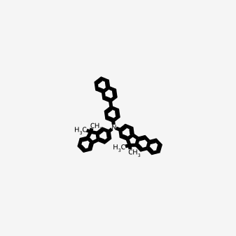 CC1(C)c2ccccc2-c2ccc(N(c3ccc(-c4ccc5ccccc5c4)cc3)c3ccc4c(c3)C(C)(C)c3cc5ccccc5cc3-4)cc21